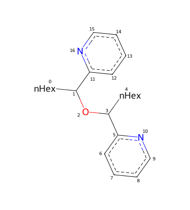 CCCCCCC(OC(CCCCCC)c1ccccn1)c1ccccn1